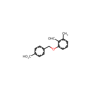 Cc1cccc(OCc2ccc(C(=O)O)cc2)c1C=O